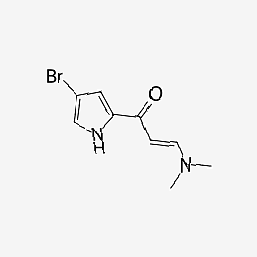 CN(C)/C=C/C(=O)c1cc(Br)c[nH]1